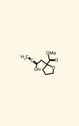 C=C=C(O)CC1(C(=O)OC)CCCO1